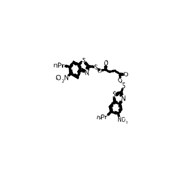 CCCc1cc2sc(SOC(=O)CCC(=O)OSc3nc4cc([N+](=O)[O-])c(CCC)cc4s3)nc2cc1[N+](=O)[O-]